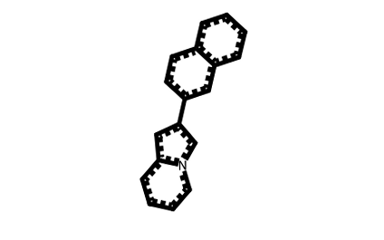 c1ccc2cc(-c3cc4ccccn4c3)ccc2c1